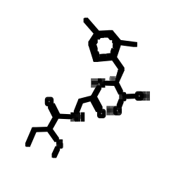 CCC(SC)C(=O)NCC(=O)N[C@@H](Cc1ccc(C)cc1C)B(O)O